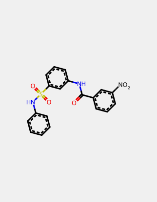 O=C(Nc1cccc(S(=O)(=O)Nc2ccccc2)c1)c1cccc([N+](=O)[O-])c1